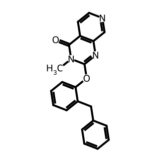 Cn1c(Oc2ccccc2Cc2ccccc2)nc2cnccc2c1=O